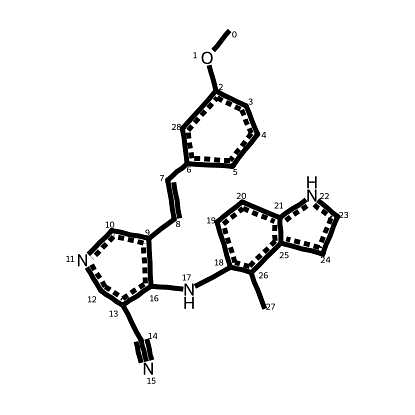 COc1cccc(C=Cc2cncc(C#N)c2Nc2ccc3[nH]ccc3c2C)c1